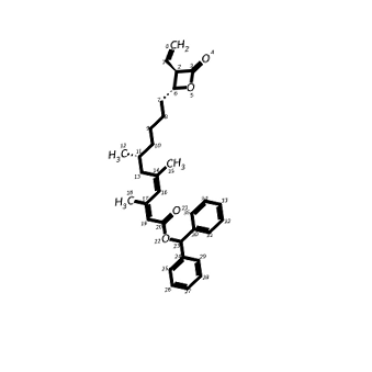 C=C[C@H]1C(=O)O[C@@H]1CCCC[C@@H](C)CC(C)=CC(C)=CC(=O)OC(c1ccccc1)c1ccccc1